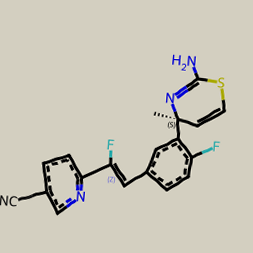 C[C@@]1(c2cc(/C=C(\F)c3ccc(C#N)cn3)ccc2F)C=CSC(N)=N1